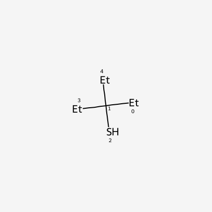 CCC(S)(CC)CC